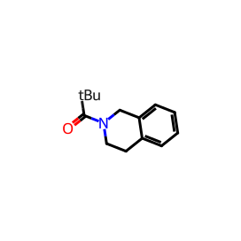 CC(C)(C)C(=O)N1CCc2ccccc2C1